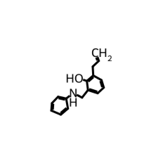 C=CCc1cccc(CNc2ccccc2)c1O